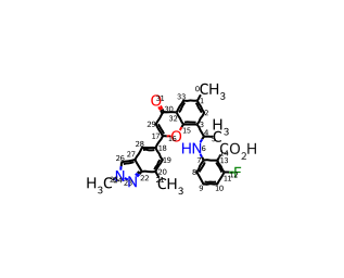 Cc1cc(C(C)Nc2cccc(F)c2C(=O)O)c2oc(-c3cc(C)c4nn(C)cc4c3)cc(=O)c2c1